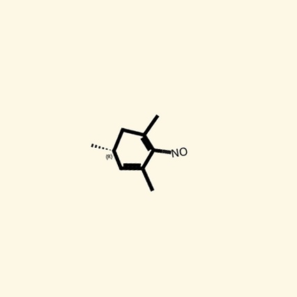 CC1=C[C@H](C)CC(C)=C1N=O